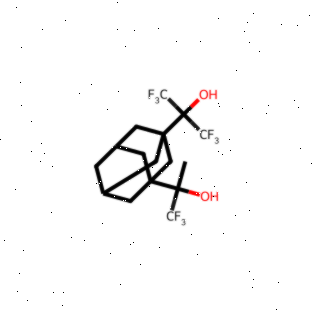 CC(O)(C(F)(F)F)C12CC3CC(C1)CC(C(O)(C(F)(F)F)C(F)(F)F)(C3)C2